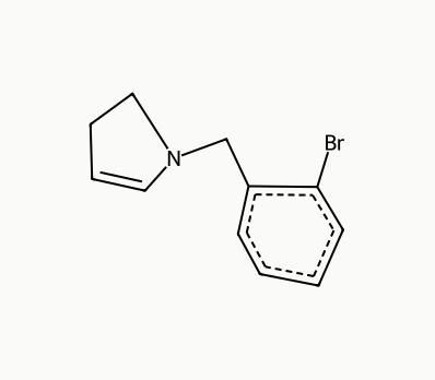 Brc1ccccc1CN1C=CCC1